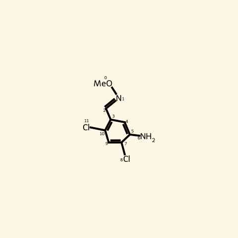 CON=Cc1cc(N)c(Cl)cc1Cl